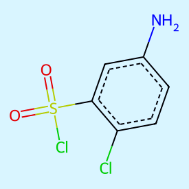 Nc1ccc(Cl)c(S(=O)(=O)Cl)c1